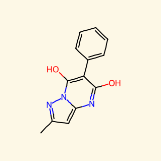 Cc1cc2nc(O)c(-c3ccccc3)c(O)n2n1